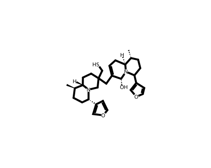 C[C@@H]1CC[C@@H](c2ccoc2)N2CC(CS)(CC3=CC[C@H]4[C@H](C)CCC(c5ccoc5)N4[C@@H]3O)CC[C@@H]12